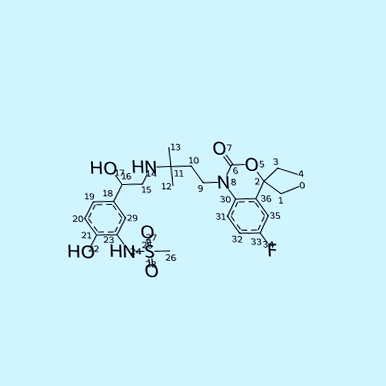 CCC1(CC)OC(=O)N(CCC(C)(C)NCC(O)c2ccc(O)c(NS(C)(=O)=O)c2)c2ccc(F)cc21